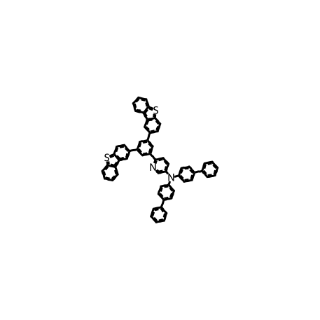 c1ccc(-c2ccc(N(c3ccc(-c4ccccc4)cc3)c3ccc(-c4cc(-c5ccc6sc7ccccc7c6c5)cc(-c5ccc6sc7ccccc7c6c5)c4)nc3)cc2)cc1